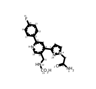 NC(=O)Cn1ccc(-c2cc(-c3ccc(F)cc3)ncc2CNC(=O)O)n1